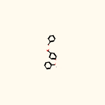 C[C@@H](Oc1ccc(C(=O)OCc2ccccc2)cc1)c1ccccc1